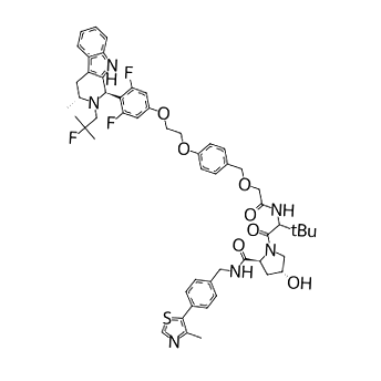 Cc1ncsc1-c1ccc(CNC(=O)[C@@H]2C[C@@H](O)CN2C(=O)C(NC(=O)COCc2ccc(OCCOc3cc(F)c([C@@H]4c5[nH]c6ccccc6c5C[C@@H](C)N4CC(C)(C)F)c(F)c3)cc2)C(C)(C)C)cc1